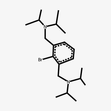 CC(C)N(Cc1cccc(CN(C(C)C)C(C)C)c1Br)C(C)C